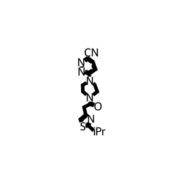 CC(C)c1nc(CC(=O)N2CCN(c3ccc(C#N)nn3)CC2)cs1